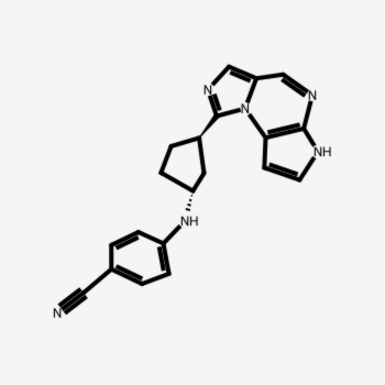 N#Cc1ccc(N[C@@H]2CC[C@@H](c3ncc4cnc5[nH]ccc5n34)C2)cc1